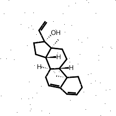 C=C[C@]1(O)CC[C@H]2[C@@H]3CC=C4C=CCC[C@]4(C)[C@H]3CC[C@@]21C